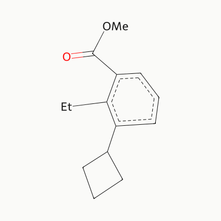 CCc1c(C(=O)OC)cccc1C1CCC1